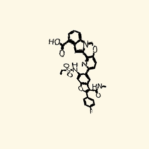 CCS(=O)(=O)Nc1cc2oc(-c3ccc(F)cc3)c(C(=O)NC)c2cc1-c1ccc2c(n1)-c1cc3c(C(=O)O)cccc3n1CO2